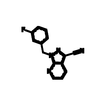 N#Cc1nn(Cc2cccc(F)c2)c2ncccc12